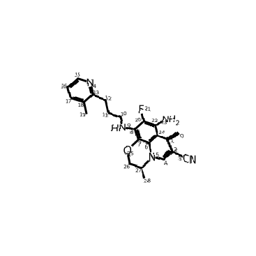 C=C1C(C#N)=CN2c3c(c(NCCCc4ncccc4C)c(F)c(N)c31)OC[C@@H]2C